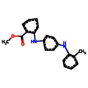 COC(=O)c1ccccc1Nc1ccc(Nc2ccccc2C)cc1